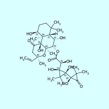 C=C[C@@]1(C)CC(=O)[C@]2(O)[C@@]3(C)[C@@H](O)CCC(C)(C)[C@@H]3[C@H](O)[C@H](OC(=O)[C@@H](O)[C@@]3(O)C(C)(C)[C@@]3(O)[C@@]3(O)C(=O)C3(C)C)[C@@]2(C)O1